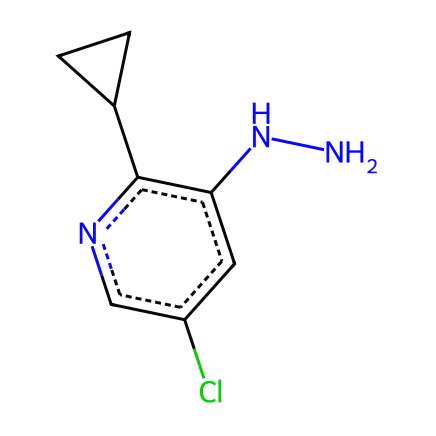 NNc1cc(Cl)cnc1C1CC1